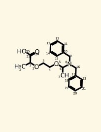 CC(OCCOC(C)N(Cc1ccccc1)Cc1ccccc1)C(=O)O